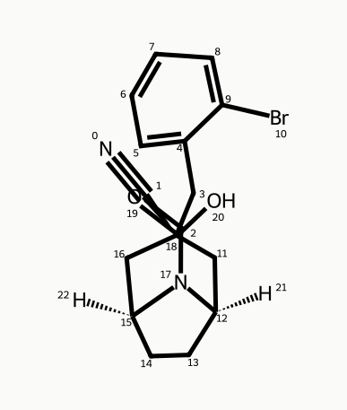 N#C[C@@]1(Cc2ccccc2Br)C[C@H]2CC[C@@H](C1)N2C(=O)O